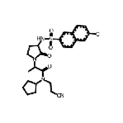 CC(C(=O)N(CCC#N)C1CCCC1)N1CCC(NS(=O)(=O)c2ccc3cc(Cl)ccc3c2)C1=O